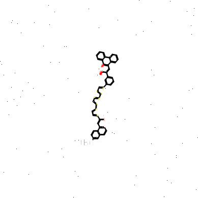 CC(C)(C)c1ccc2c(ccc3oc(=O)c(-c4ccc(-c5cc6sc7cc(-c8cccc(-c9cc%10c%11ccccc%11c%11ccccc%11c%10oc9=O)c8)sc7c6s5)s4)cc32)c1